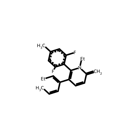 C=C1C=CC(C(/C=C\C)=C/CC)=C(c2c(F)cc(C)cc2F)N1CC